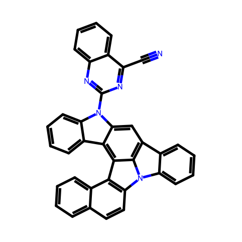 N#Cc1nc(-n2c3ccccc3c3c4c5c6ccccc6ccc5n5c6ccccc6c(cc32)c45)nc2ccccc12